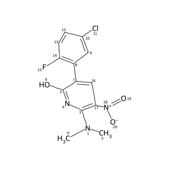 CN(C)c1nc(O)c(-c2cc(Cl)ccc2F)cc1[N+](=O)[O-]